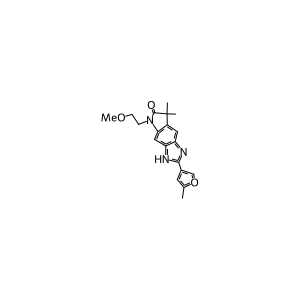 COCCN1C(=O)C(C)(C)c2cc3nc(-c4coc(C)c4)[nH]c3cc21